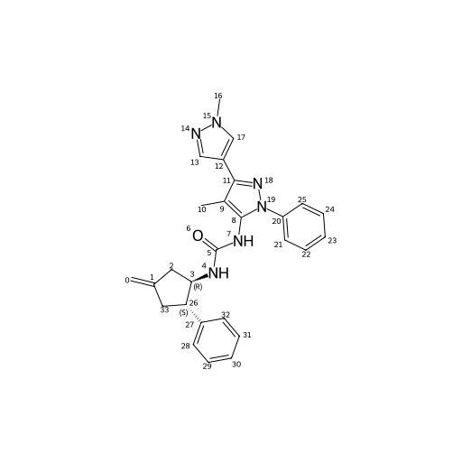 C=C1C[C@@H](NC(=O)Nc2c(C)c(-c3cnn(C)c3)nn2-c2ccccc2)[C@H](c2ccccc2)C1